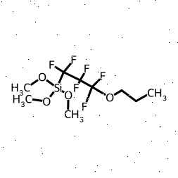 CCCOC(F)(F)C(F)(F)C(F)(F)[Si](OC)(OC)OC